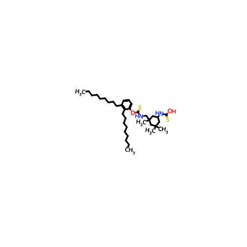 CCCCCCCCCc1cccc(OC(=S)NCC2(C)CC(NC(O)=S)CC(C)(C)C2)c1CCCCCCCCC